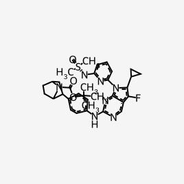 CC(C)(C)OC(=O)N1C2CCC1C(c1ccc(Nc3ncc4c(F)c(C5CC5)n(-c5cccc(N=S(C)(C)=O)n5)c4n3)cc1)C2